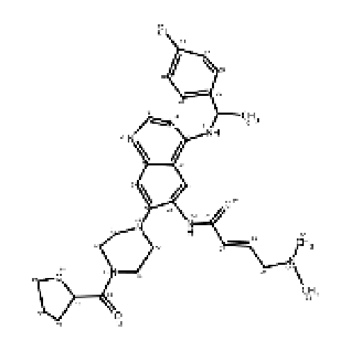 CC(Nc1ncnc2cc(N3CCN(C(=O)C4CCCO4)CC3)c(NC(=O)C=CCN(C)C)cc12)c1ccc(Cl)cc1